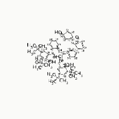 CC(C)(C)c1cc(C=[N][Cr]2([N]=Cc3cc(C(C)(C)C)cc(C(C)(C)C)c3O)[CH](c3ccccc3)[CH]2c2ccccc2)c(O)c(C(C)(C)C)c1.Oc1ccc(Oc2ccccc2)cc1